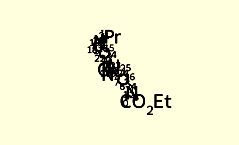 CCOC(=O)CN(C)Cc1ccc(-c2noc(-c3ccc4c(ccn4C(C)C)c3)n2)c(C)c1